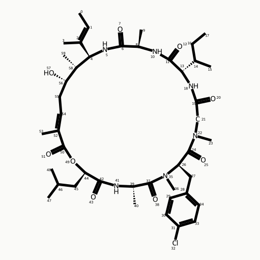 C/C=C(\C)[C@H]1NC(=O)[C@@H](C)NC(=O)[C@H](C(C)CC)NC(=O)CN(C)C(=O)[C@@H](Cc2ccc(Cl)cc2)N(C)C(=O)[C@H](C)NC(=O)[C@@H](CC(C)C)OC(=O)/C(C)=C/C[C@H](O)[C@@H]1C